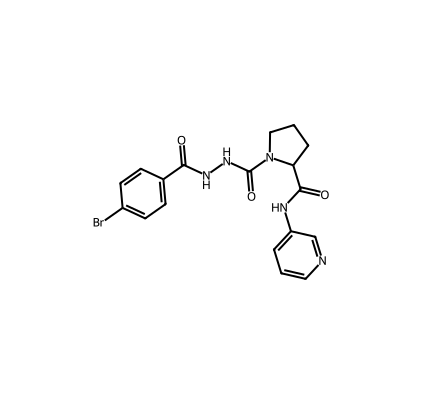 O=C(NNC(=O)N1CCCC1C(=O)Nc1cccnc1)c1ccc(Br)cc1